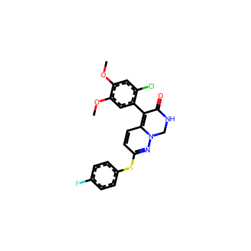 COc1cc(Cl)c(C2=C3C=CC(Sc4ccc(F)cc4)=NN3CNC2=O)cc1OC